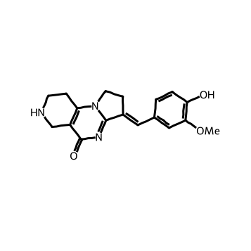 COc1cc(C=C2CCn3c2nc(=O)c2c3CCNC2)ccc1O